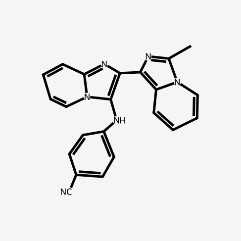 Cc1nc(-c2nc3ccccn3c2Nc2ccc(C#N)cc2)c2ccccn12